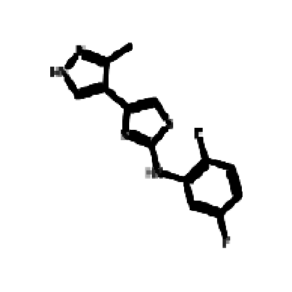 Cc1n[nH]cc1-c1csc(Nc2cc(F)ccc2F)n1